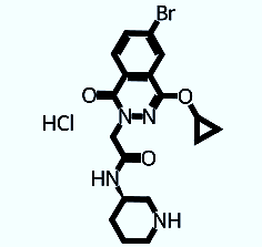 Cl.O=C(Cn1nc(OC2CC2)c2cc(Br)ccc2c1=O)N[C@@H]1CCCNC1